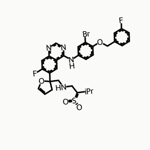 CC(C)C(CNCC1(c2cc3c(Nc4ccc(OCc5cccc(F)c5)c(Br)c4)ncnc3cc2F)CC=CO1)=S(=O)=O